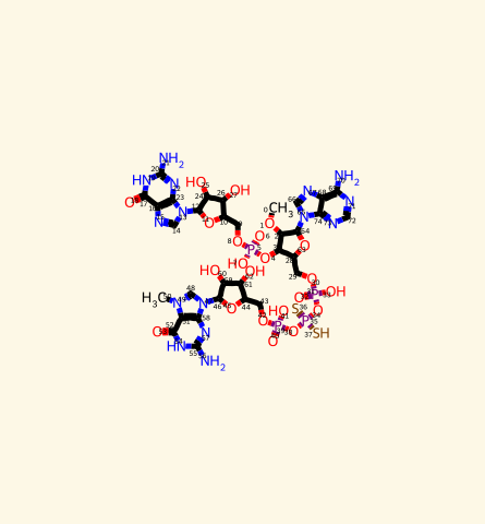 COC1C(OP(=O)(O)OCC2OC(n3cnc4c(=O)[nH]c(N)nc43)C(O)C2O)C(COP(=O)(O)OP(=S)(S)OP(=O)(O)OCC2OC(n3c[n+](C)c4c(=O)[nH]c(N)nc43)C(O)C2O)OC1n1cnc2c(N)ncnc21